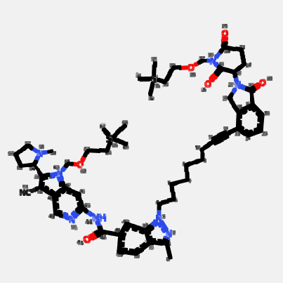 Cc1nn(CCCCCCCC#Cc2cccc3c2CN(C2CCC(=O)N(COCC[Si](C)(C)C)C2=O)C3=O)c2cc(C(=O)Nc3cc4c(cn3)c(C#N)c([C@H]3CCCN3C)n4COCC[Si](C)(C)C)ccc12